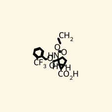 C=CCOC(=O)N[C@@]1(C(=O)OCc2ccccc2C(F)(F)F)CC[C@H]2[C@H](C(=O)O)[C@H]21